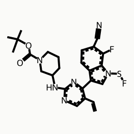 C=Cc1cnc(NC2CCCN(C(=O)OC(C)(C)C)C2)nc1-c1cn(SF)c2c(F)c(C#N)ccc12